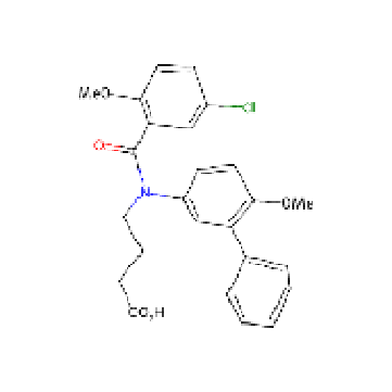 COc1ccc(Cl)cc1C(=O)N(CCCC(=O)O)c1ccc(OC)c(-c2ccccc2)c1